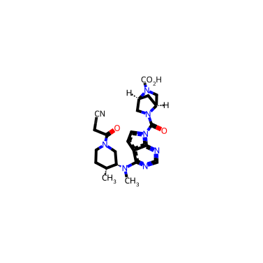 C[C@@H]1CCN(C(=O)CC#N)C[C@@H]1N(C)c1ncnc2c1ccn2C(=O)N1C[C@@H]2C[C@H]1CN2C(=O)O